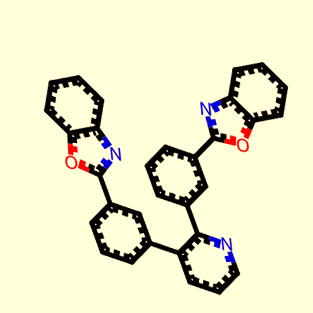 c1cc(-c2nc3ccccc3o2)cc(-c2cccnc2-c2cccc(-c3nc4ccccc4o3)c2)c1